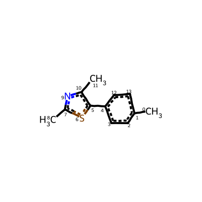 Cc1ccc(-c2sc(C)nc2C)cc1